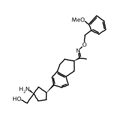 COc1ccccc1CO/N=C(\C)[C@@H]1CCc2cc([C@H]3CC[C@](N)(CO)C3)ccc2C1